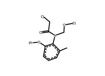 CCOCN(C(=O)CCl)c1c(C)cccc1OC(C)C